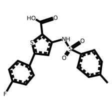 Cc1ccc(S(=O)(=O)Nc2cc(-c3ccc(F)cc3)sc2C(=O)O)cc1